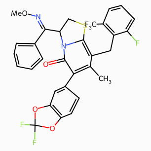 CO/N=C(\c1ccccc1)C1CSc2c(Cc3c(F)cccc3C(F)(F)F)c(C)c(-c3ccc4c(c3)OC(F)(F)O4)c(=O)n21